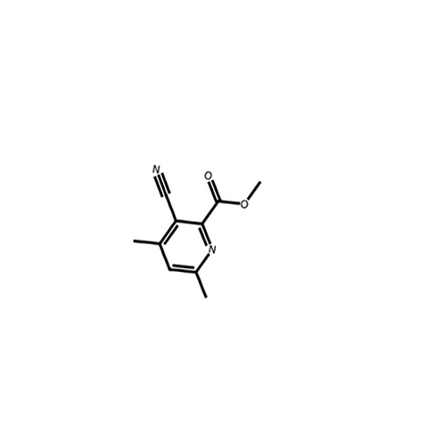 COC(=O)c1nc(C)cc(C)c1C#N